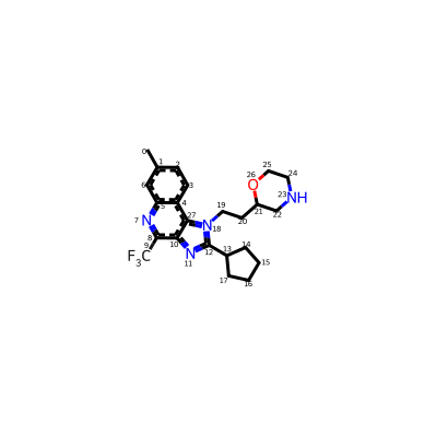 Cc1ccc2c(c1)nc(C(F)(F)F)c1nc(C3CCCC3)n(CCC3CNCCO3)c12